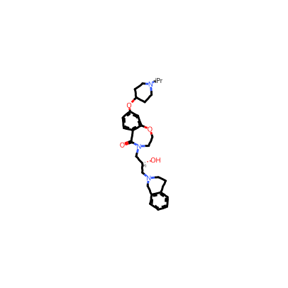 CC(C)N1CCC(Oc2ccc3c(c2)OCCN(C[C@H](O)CN2CCc4ccccc4C2)C3=O)CC1